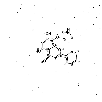 CNC.COc1c(O)cc(O)c2c(=O)cc(-c3ccccc3)oc12